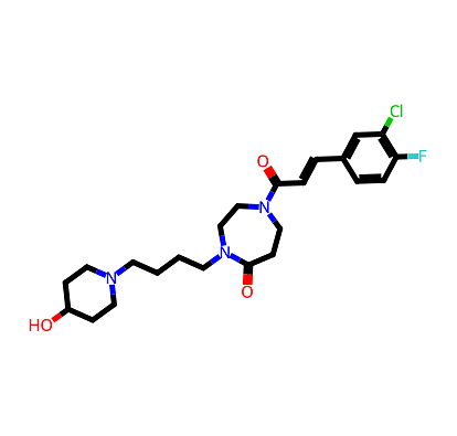 O=C(C=Cc1ccc(F)c(Cl)c1)N1CCC(=O)N(CCCCN2CCC(O)CC2)CC1